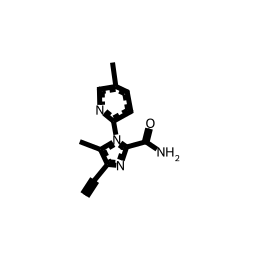 C#Cc1nc(C(N)=O)n(-c2ccc(C)cn2)c1C